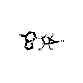 O=c1ccn([C@@H]2O[C@@H]3C(O)[C@]3(O)[C@H]2O)n2ccnc12